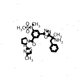 Cc1csc([C@H]2CCCN2C(=O)c2cc(-c3nnc([C@@](C)(N)Cc4ccccc4)o3)cc(N(C)S(C)(=O)=O)c2)n1